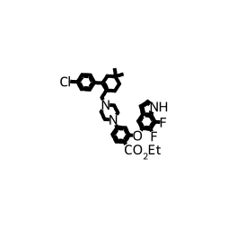 CCOC(=O)c1ccc(N2CCN(CC3=C(c4ccc(Cl)cc4)CC(C)(C)CC3)CC2)cc1Oc1cc2cc[nH]c2c(F)c1F